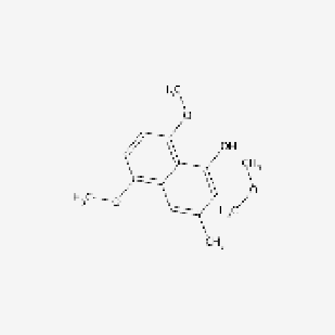 COC.COc1ccc(OC)c2c(O)cc(C)cc12